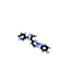 Cc1nc(-c2cccnc2)sc1-c1ccnc(Nc2ccc(F)cc2)n1